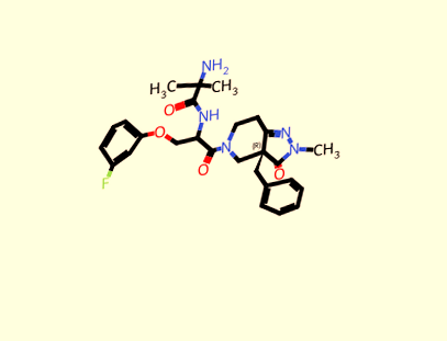 CN1N=C2CCN(C(=O)C(COc3cccc(F)c3)NC(=O)C(C)(C)N)C[C@@]2(Cc2ccccc2)C1=O